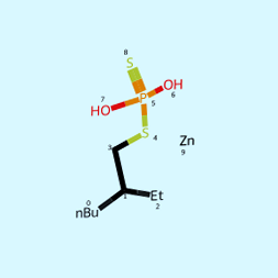 CCCCC(CC)CSP(O)(O)=S.[Zn]